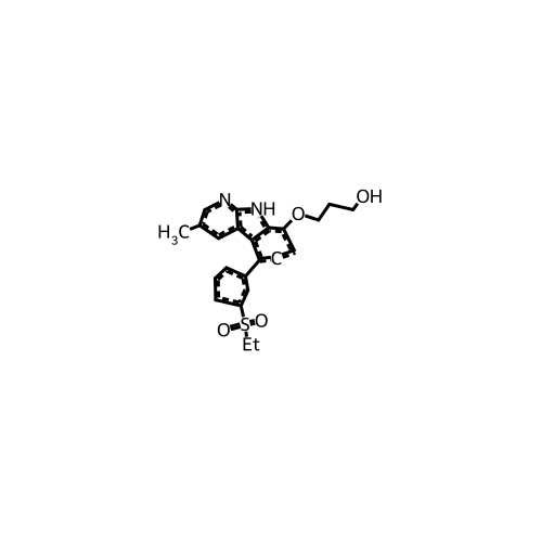 CCS(=O)(=O)c1cccc(-c2ccc(OCCCO)c3[nH]c4ncc(C)cc4c23)c1